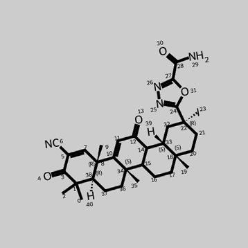 CC1(C)C(=O)C(C#N)=C[C@]2(C)C3=CC(=O)C4C(CC[C@@]5(C)CC[C@](I)(c6nnc(C(N)=O)o6)C[C@@H]45)[C@]3(C)CC[C@@H]12